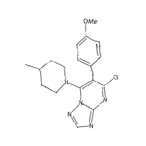 COc1ccc(-c2c(Cl)nc3ncnn3c2N2CCC(C)CC2)cc1